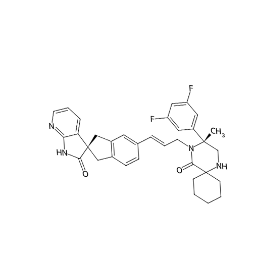 C[C@@]1(c2cc(F)cc(F)c2)CNC2(CCCCC2)C(=O)N1C/C=C/c1ccc2c(c1)C[C@@]1(C2)C(=O)Nc2ncccc21